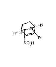 CCN1C(C(=O)O)[C@H]2C=C[C@@H]1CC2